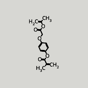 C=C(C)OC(=O)COc1ccc(OC(=O)C(=C)C)cc1